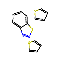 c1ccc2snnc2c1.c1ccsc1.c1ccsc1